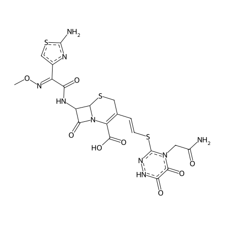 CON=C(C(=O)NC1C(=O)N2C(C(=O)O)=C(C=CSc3n[nH]c(=O)c(=O)n3CC(N)=O)CSC12)c1csc(N)n1